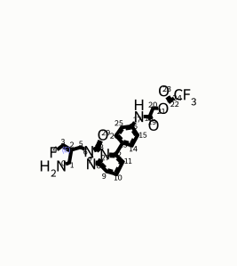 NC/C(=C\F)Cn1nc2cccc(-c3ccc(NC(=O)COC(=O)C(F)(F)F)cc3)n2c1=O